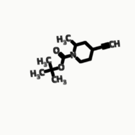 C#CC1CCN(C(=O)OC(C)(C)C)C(C)C1